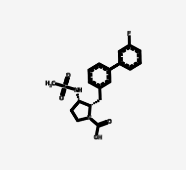 CS(=O)(=O)N[C@H]1CCN(C(=O)O)[C@H]1Cc1cccc(-c2cccc(F)c2)c1